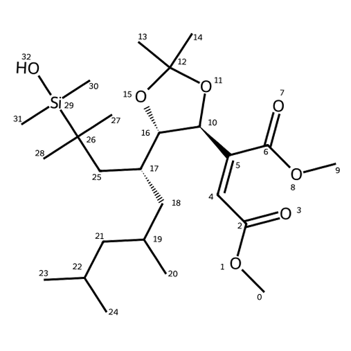 COC(=O)/C=C(\C(=O)OC)[C@@H]1OC(C)(C)O[C@H]1[C@H](CC(C)CC(C)C)CC(C)(C)[Si](C)(C)O